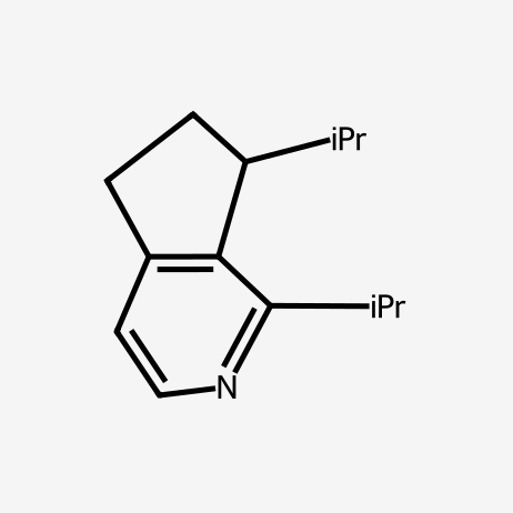 CC(C)c1nccc2c1C(C(C)C)CC2